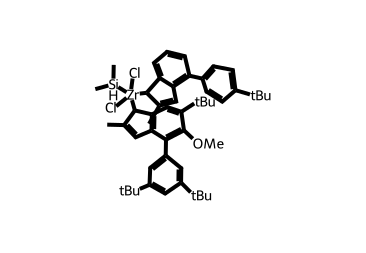 COc1c(C(C)(C)C)cc2c(c1-c1cc(C(C)(C)C)cc(C(C)(C)C)c1)C=C(C)[CH]2[Zr]([Cl])([Cl])([CH]1C(C)=Cc2c(-c3ccc(C(C)(C)C)cc3)cccc21)[SiH](C)C